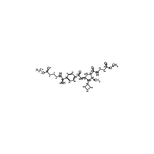 COC(=O)CCCNC(=N)c1ccc(C(=O)N=C2SC(C(=O)NCCC(=O)OC)C(C)N2C2CCC2)cc1